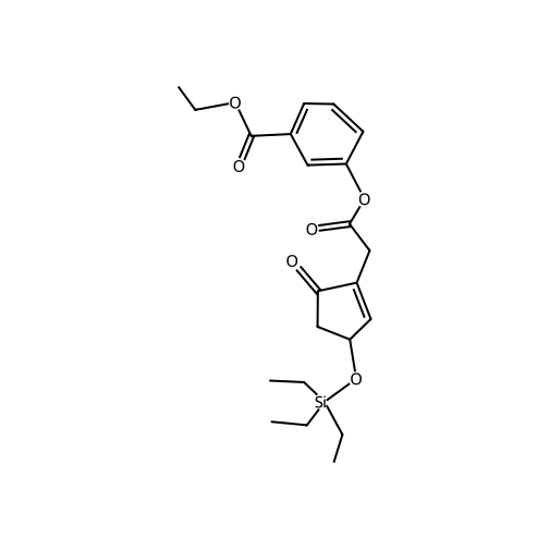 CCOC(=O)c1cccc(OC(=O)CC2=CC(O[Si](CC)(CC)CC)CC2=O)c1